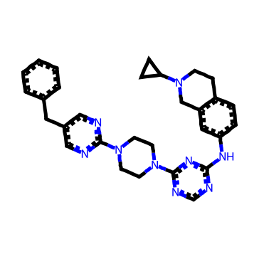 c1ccc(Cc2cnc(N3CCN(c4ncnc(Nc5ccc6c(c5)CN(C5CC5)CC6)n4)CC3)nc2)cc1